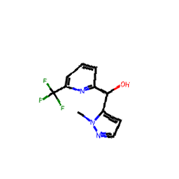 Cn1nccc1C(O)c1cccc(C(F)(F)F)n1